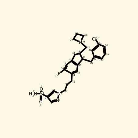 NS(=O)(=O)c1cnn(CCCc2cc3c(cc2F)CC(CN2CCC2)C3Cc2cccc(Cl)c2)c1